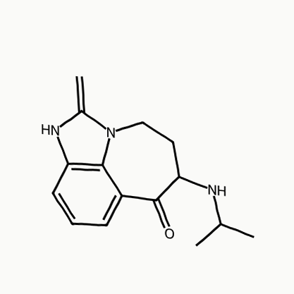 C=C1Nc2cccc3c2N1CCC(NC(C)C)C3=O